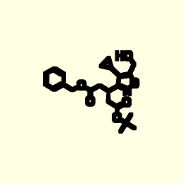 CC(C)(C)OC(=O)C[C@@H](CC(=O)OCc1ccccc1)c1noc(CO)c1C1CC1